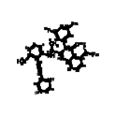 CC(Nc1ncnc(N)c1C#Cc1cnccn1)c1nc2cccc(C(F)F)c2c(=O)n1-c1cc(F)cc(F)c1